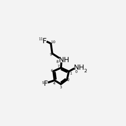 Nc1ccc(F)cc1NCCF